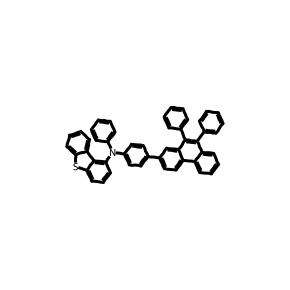 c1ccc(-c2c(-c3ccccc3)c3cc(-c4ccc(N(c5ccccc5)c5cccc6sc7ccccc7c56)cc4)ccc3c3ccccc23)cc1